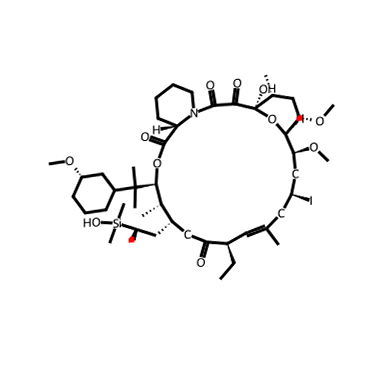 CC[C@@H]1/C=C(\C)C[C@H](I)C[C@H](OC)[C@H]2O[C@@](O)(C(=O)C(=O)N3CCCC[C@H]3C(=O)O[C@H](C(C)(C)C3CCC[C@H](OC)C3)[C@@H](C)[C@@H](CC(C)(C)[Si](C)(C)O)CC1=O)[C@H](C)C[C@@H]2OC